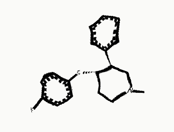 CN1CC[C@H](Sc2ccc(F)cc2)[C@@H](c2ccccc2)C1